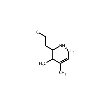 CC=C(C)C(C)C(N)CCC